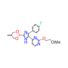 C=C1COC(c2nc(-c3ccc(F)cc3)c(-c3ccnc(OCCOC)n3)[nH]2)OC1